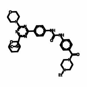 CCN1CCN(C(=O)c2ccc(NC(=O)Nc3ccc(-c4nc(N5CCOCC5)nc(N5CC6CCC5CO6)n4)cc3)cc2)CC1